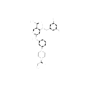 [C-]#[N+]CC(=O)N1CCN(c2cccc(Nc3cc(NCc4cc(F)cc(F)c4)c(C(N)=O)cn3)c2)CC1